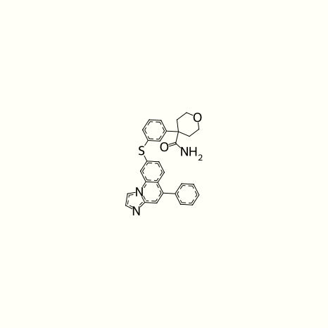 NC(=O)C1(c2cccc(Sc3ccc4c(-c5ccccc5)cc5nccn5c4c3)c2)CCOCC1